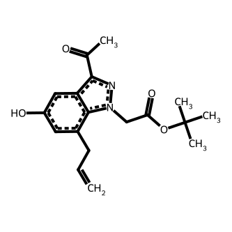 C=CCc1cc(O)cc2c(C(C)=O)nn(CC(=O)OC(C)(C)C)c12